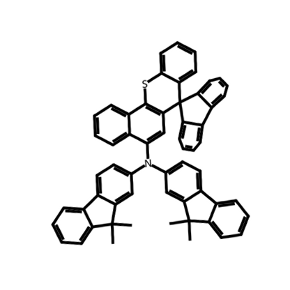 CC1(C)c2ccccc2-c2ccc(N(c3ccc4c(c3)C(C)(C)c3ccccc3-4)c3cc4c(c5ccccc35)Sc3ccccc3C43c4ccccc4-c4ccccc43)cc21